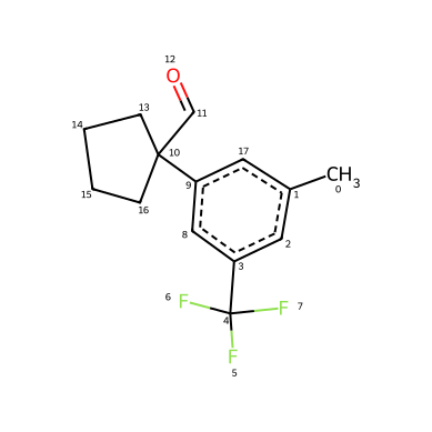 Cc1cc(C(F)(F)F)cc(C2(C=O)CCCC2)c1